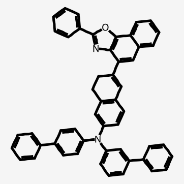 C1=C(c2cc3ccccc3c3oc(-c4ccccc4)nc23)CCc2cc(N(c3ccc(-c4ccccc4)cc3)c3cccc(-c4ccccc4)c3)ccc21